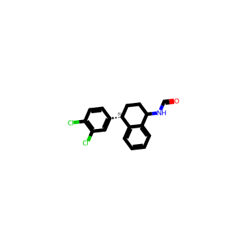 O=CNC1CC[C@@H](c2ccc(Cl)c(Cl)c2)c2ccccc21